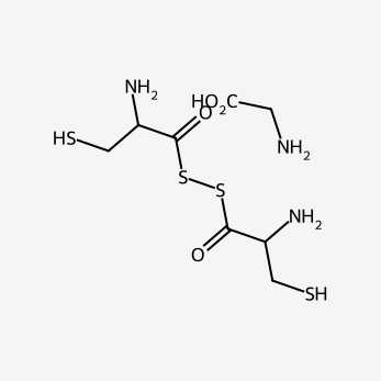 NC(CS)C(=O)SSC(=O)C(N)CS.NCC(=O)O